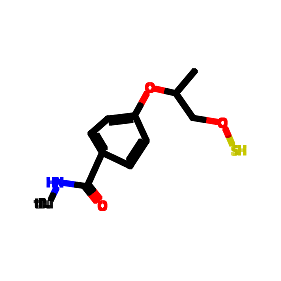 CC(COS)Oc1ccc(C(=O)NC(C)(C)C)cc1